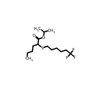 CCCCC(SCCCCCC(F)(F)F)C(=O)OC(C)C